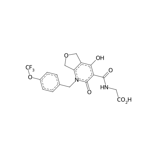 O=C(O)CNC(=O)c1c(O)c2c(n(Cc3ccc(OC(F)(F)F)cc3)c1=O)COC2